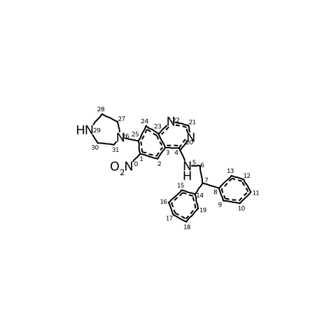 O=[N+]([O-])c1cc2c(NCC(c3ccccc3)c3ccccc3)ncnc2cc1N1CCNCC1